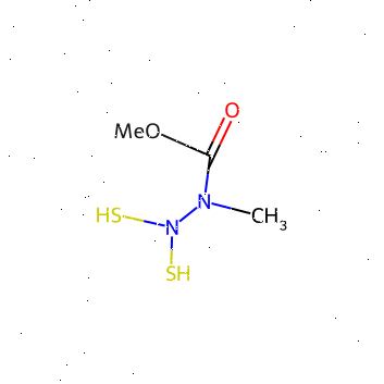 COC(=O)N(C)N(S)S